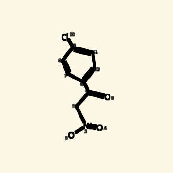 O=C(C[N+](=O)[O-])c1ccc(Cl)cc1